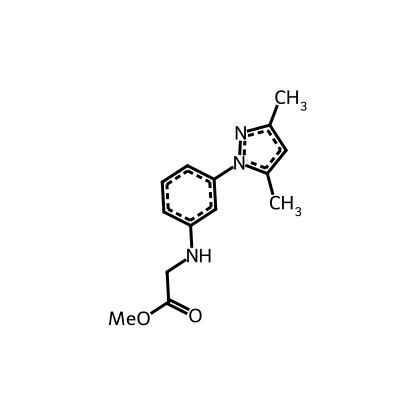 COC(=O)CNc1cccc(-n2nc(C)cc2C)c1